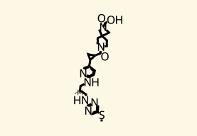 CSc1cnc(NC[C@H](C)CNc2ccc(C3CC3C(=O)N3CCC4(CC3)CN(C(=O)O)C4)cn2)nc1